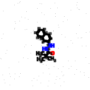 CC(C)(C)C(=O)NNc1ccc2ccccc2c1